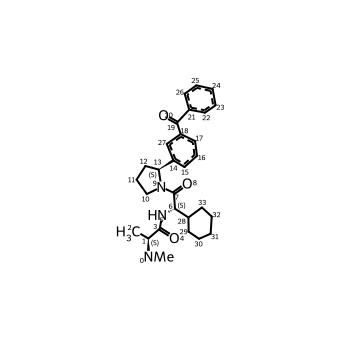 CN[C@@H](C)C(=O)N[C@H](C(=O)N1CCC[C@H]1c1cccc(C(=O)c2ccccc2)c1)C1CCCCC1